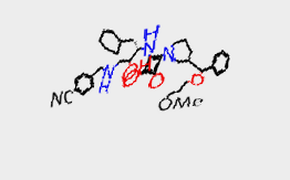 COCCCO[C@@H](c1ccccc1)[C@@H]1CCCN(c2c(N[C@@H](CC3CCCCC3)[C@H](O)CNCc3ccc(C#N)cc3)c(=O)c2=O)C1